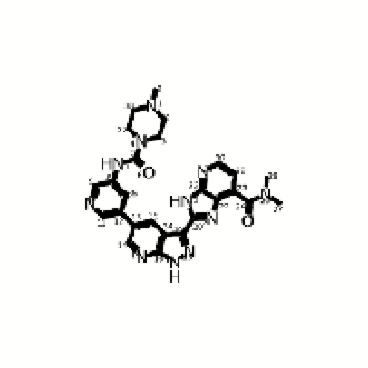 CN1CCN(C(=O)Nc2cncc(-c3cnc4[nH]nc(-c5nc6c(C(=O)N(C)C)ccnc6[nH]5)c4c3)c2)CC1